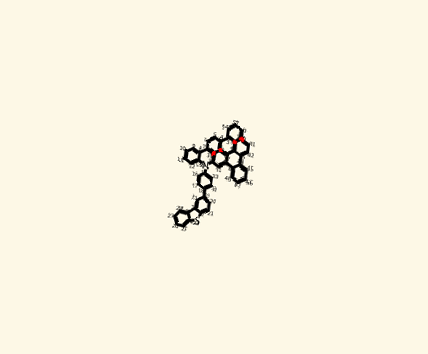 c1ccc(-c2ccc(-c3ccccc3N(c3ccc(-c4ccc5sc6ccccc6c5c4)cc3)c3ccc4c5ccccc5c5ccccc5c4c3)cc2)cc1